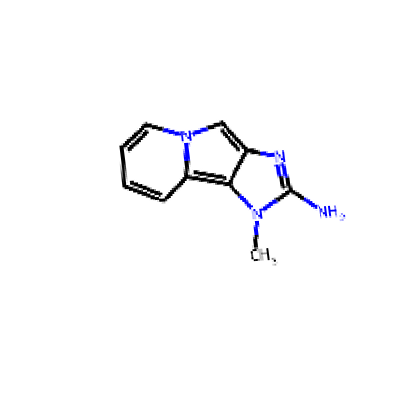 Cn1c(N)nc2cn3ccccc3c21